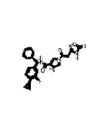 O=C(N[C@@H](c1ccccc1)c1ccc(C2CC2)c(F)c1)C1CN(C(=O)Cc2noc(=O)[nH]2)C[C@@H]1F